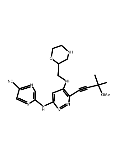 COC(C)(C)C#Cc1nnc(Nc2cnc(C#N)cn2)cc1NC[C@@H]1CNCCO1